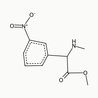 CNC(C(=O)OC)c1cccc([N+](=O)[O-])c1